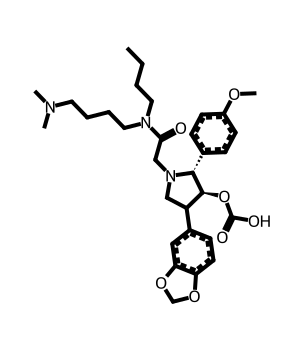 CCCCN(CCCCN(C)C)C(=O)CN1CC(c2ccc3c(c2)OCO3)[C@H](OC(=O)O)[C@H]1c1ccc(OC)cc1